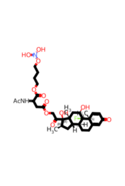 CC(=O)NC(CC(=O)OCC(=O)[C@@]1(O)[C@H](C)C[C@H]2[C@@H]3CCC4=CC(=O)C=C[C@]4(C)[C@@]3(F)[C@@H](O)C[C@@]21C)C(=O)OCCCCON(O)O